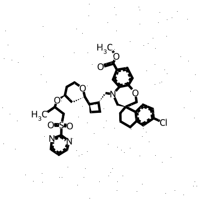 COC(=O)c1ccc2c(c1)N(C[C@@H]1CC[C@H]1[C@@H]1C[C@@H](OC(C)CS(=O)(=O)c3ncccn3)CCO1)C[C@@]1(CCCc3cc(Cl)ccc31)CO2